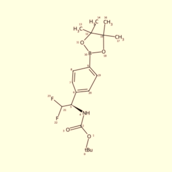 CC(C)(C)OC(=O)N[C@H](c1ccc(B2OC(C)(C)C(C)(C)O2)cc1)C(F)F